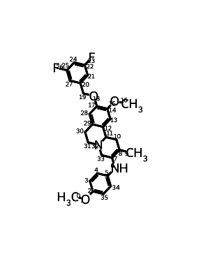 COc1ccc(NC2=C(C)CC3c4cc(OC)c(OCc5cc(F)cc(F)c5)cc4CCN3C2)cc1